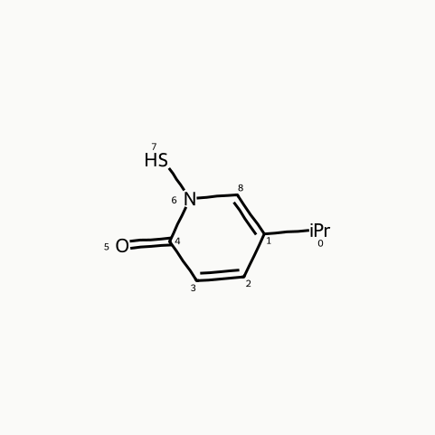 CC(C)c1ccc(=O)n(S)c1